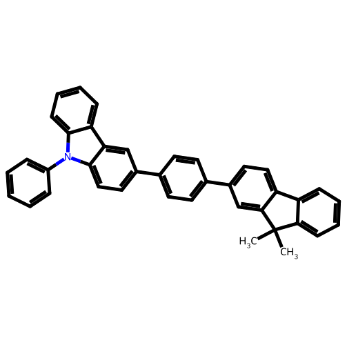 CC1(C)c2ccccc2-c2ccc(-c3ccc(-c4ccc5c(c4)c4ccccc4n5-c4ccccc4)cc3)cc21